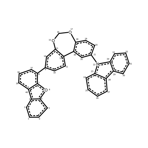 c1ccc2c(c1)oc1c(-c3ccc4c(c3)OCOc3ccc(-n5c6ccccc6c6ccccc65)cc3-4)cccc12